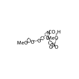 COCCCN1C(=O)COc2ccc(COC3CN(C(=O)O)CCC3c3ccc(OCCCOc4cccc(OC)c4)cc3)cc21